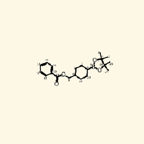 CC1(C)OB(C2CCC(COC(=O)c3ccccc3)CC2)OC1(C)C